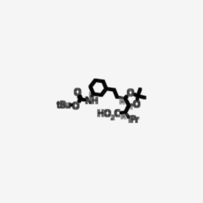 CC(C)[C@@H](C(=O)O)[C@H]1OC(C)(C)O[C@@H]1CCC1CCC[C@H](NC(=O)OC(C)(C)C)C1